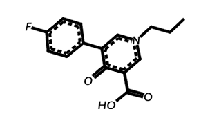 CCCn1cc(C(=O)O)c(=O)c(-c2ccc(F)cc2)c1